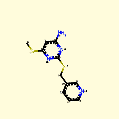 CSc1cc(N)nc(SCc2cccnc2)n1